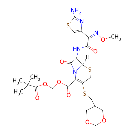 CO/N=C(\C(=O)NC1C(=O)N2C(C(=O)OCOC(=O)C(C)(C)C)=C(SCC3COCOC3)CS[C@H]12)c1csc(N)n1